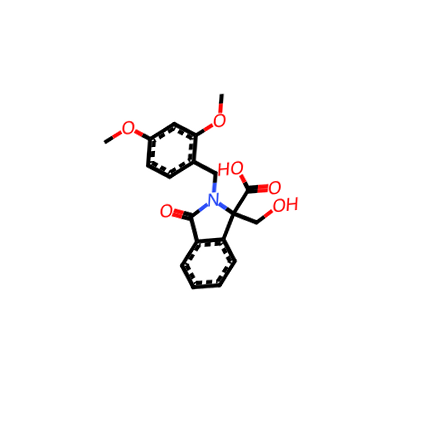 COc1ccc(CN2C(=O)c3ccccc3C2(CO)C(=O)O)c(OC)c1